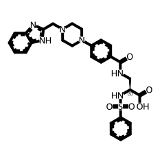 O=C(NC[C@H](NS(=O)(=O)c1ccccc1)C(=O)O)c1ccc(N2CCN(Cc3nc4ccccc4[nH]3)CC2)cc1